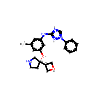 Cc1cc(Nc2ncn(-c3ccccc3)n2)cc(O[C@]2(C3COC3)CCNC2)c1